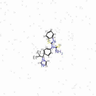 CCC(CC)C(c1ccc(N(C(N)=S)c2nc3ccccc3s2)cc1)n1ccnc1